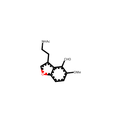 COc1ccc2occ(CCNC(C)=O)c2c1C=O